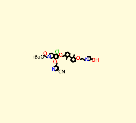 Cc1c(COc2cc(OCc3cncc(C#N)c3)c3c(c2Cl)CCN(CC(=O)OCC(C)C)C3)cccc1-c1cccc(OCCCN2CC[C@@H](O)C2)c1C